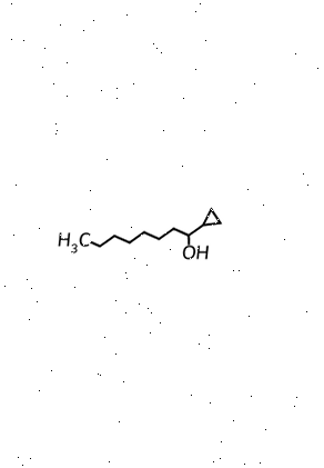 CCCCCCCC(O)C1CC1